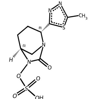 Cc1nnc([C@H]2CC[C@H]3CN2C(=O)N3OS(=O)(=O)O)s1